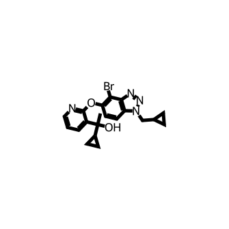 CC(O)(c1cccnc1Oc1ccc2c(nnn2CC2CC2)c1Br)C1CC1